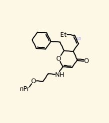 CC/C=C\C1C(=O)C=C(NCCOCCC)OC1CC1=CCCC=C1